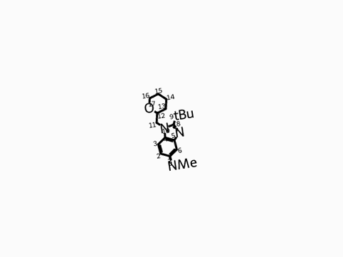 CNc1ccc2c(c1)nc(C(C)(C)C)n2CC1CCCCO1